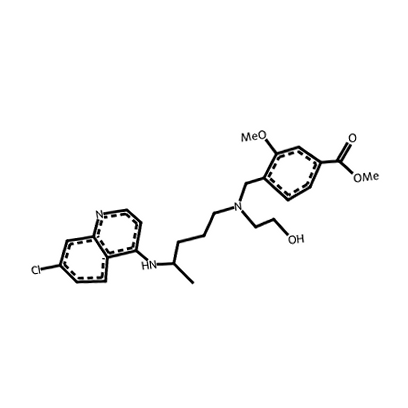 COC(=O)c1ccc(CN(CCO)CCCC(C)Nc2ccnc3cc(Cl)ccc23)c(OC)c1